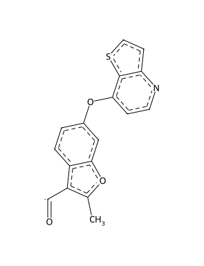 Cc1oc2cc(Oc3ccnc4ccsc34)ccc2c1[C]=O